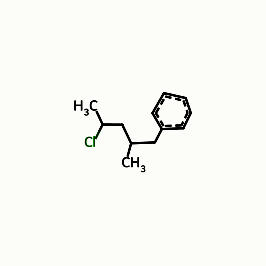 CC(Cl)CC(C)Cc1ccccc1